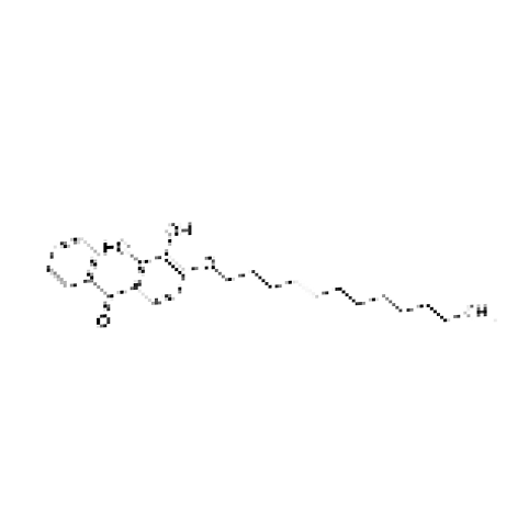 CCCCCCCCCCCCOc1ccc(C(=O)c2ccccc2)c(O)c1O